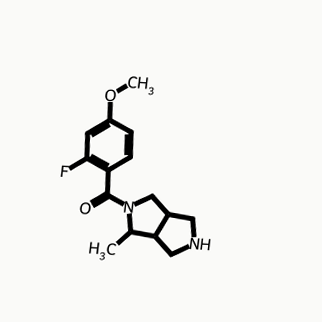 COc1ccc(C(=O)N2CC3CNCC3C2C)c(F)c1